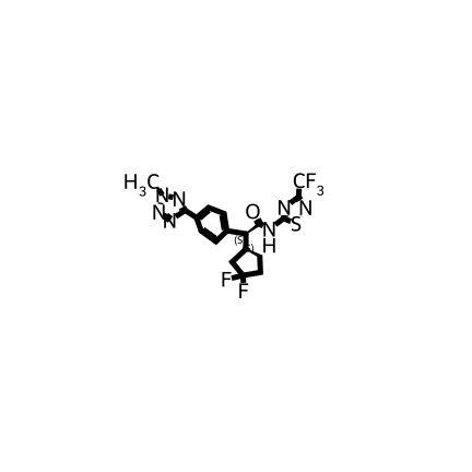 Cn1nnc(-c2ccc([C@@H](C(=O)Nc3nc(C(F)(F)F)ns3)[C@H]3CCC(F)(F)C3)cc2)n1